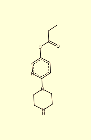 CCC(=O)Oc1ccc(N2CCNCC2)nc1